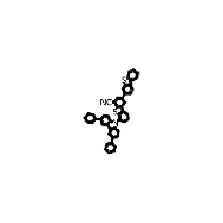 N#Cc1cc(-c2ccc3c(c2)sc2ccccc23)cc2c1sc1c(-n3c4ccc(-c5ccccc5)cc4c4cc(-c5ccccc5)ccc43)cccc12